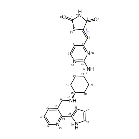 O=C1NC(=O)/C(=C/c2ccnc(N[C@H]3CC[C@H](NCc4cccnc4-c4ccc[nH]4)CC3)n2)S1